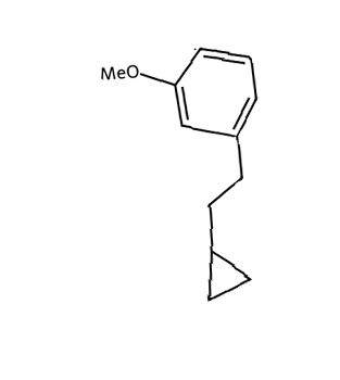 COc1[c]ccc(CCC2CC2)c1